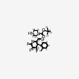 Cc1ccccc1-c1c(C(=O)[C@@H]2CNCCN2C(=O)OC(C)(C)C)nc(F)c(F)c1F